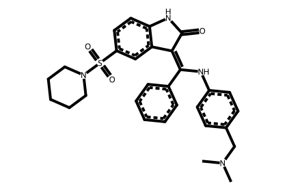 CN(C)Cc1ccc(N/C(=C2\C(=O)Nc3ccc(S(=O)(=O)N4CCCCC4)cc32)c2ccccc2)cc1